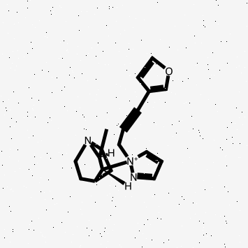 C[C@H]1[C@H]([N+]2(CC#Cc3ccoc3)C=CC=N2)C2CCN1CC2